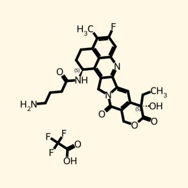 CC[C@@]1(O)C(=O)OCc2c1cc1n(c2=O)Cc2c-1nc1cc(F)c(C)c3c1c2[C@@H](NC(=O)CCCN)CC3.O=C(O)C(F)(F)F